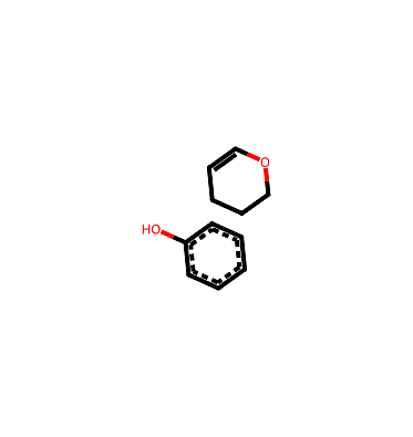 C1=COCCC1.Oc1ccccc1